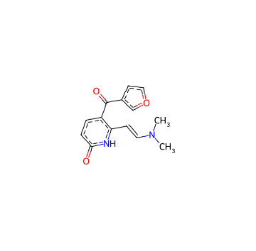 CN(C)C=Cc1[nH]c(=O)ccc1C(=O)c1ccoc1